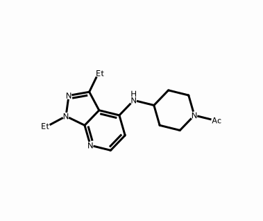 CCc1nn(CC)c2nccc(NC3CCN(C(C)=O)CC3)c12